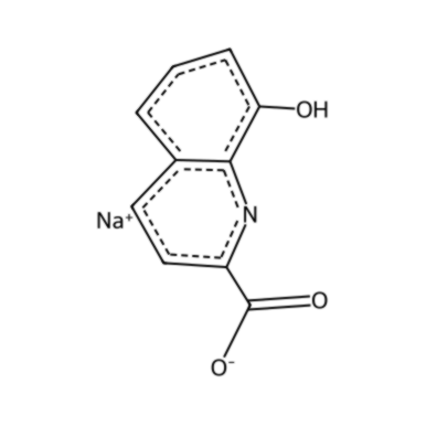 O=C([O-])c1ccc2cccc(O)c2n1.[Na+]